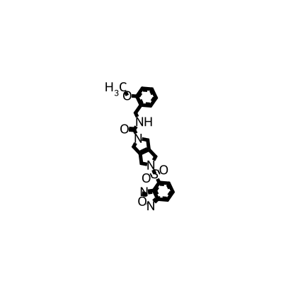 COc1ccccc1CNC(=O)N1CC2=C(C1)CN(S(=O)(=O)c1cccc3nonc13)C2